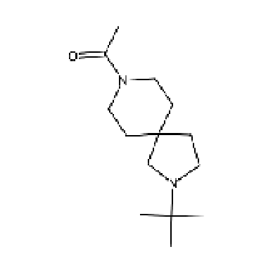 CC(=O)N1CCC2(CC1)CCN(C(C)(C)C)C2